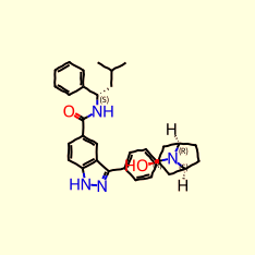 CC(C)C[C@H](NC(=O)c1ccc2[nH]nc(-c3ccc(N4[C@@H]5CC[C@H]4C[C@@H](O)C5)cc3)c2c1)c1ccccc1